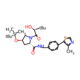 Cc1ncsc1-c1ccc(CNC(=O)[C@@H]2C[C@@H](O[Si](C)(C)C(C)(C)C)CN2C(=O)[C@@H](O)C(C)(C)C)cc1